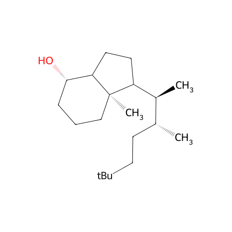 C[C@H](CCC(C)(C)C)[C@H](C)C1CCC2[C@@H](O)CCC[C@]12C